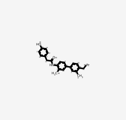 Cc1cc(-c2ccc(NC(=O)Cc3ccc(O)cc3)c(C)c2)ccc1CC(C)C